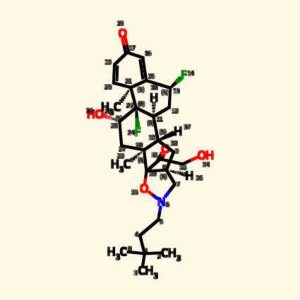 CC(C)(C)CCN1C[C@@H]2C[C@H]3[C@@H]4C[C@H](F)C5=CC(=O)C=C[C@]5(C)[C@@]4(F)[C@@H](O)C[C@]3(C)C2(C(=O)CO)O1